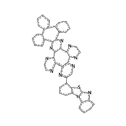 c1ccc2c(c1)nc1sc3c(-c4cnc5c6nccnc6c6nc7c8ccccc8c8ccccc8c8ccccc8c7nc6c6nccnc6c5n4)cccc3n12